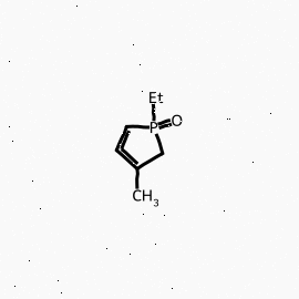 CCP1(=O)C=C=C(C)C1